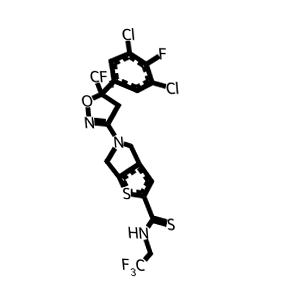 Fc1c(Cl)cc(C2(C(F)(F)F)CC(N3Cc4cc(C(=S)NCC(F)(F)F)sc4C3)=NO2)cc1Cl